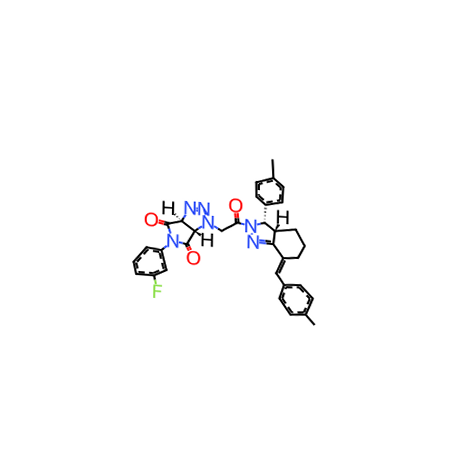 Cc1ccc(/C=C2\CCC[C@@H]3C2=NN(C(=O)CN2N=N[C@@H]4C(=O)N(c5cccc(F)c5)C(=O)[C@H]42)[C@@H]3c2ccc(C)cc2)cc1